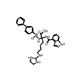 O=C(NC(CCCCNC1NCCN1)(NS(=O)(=O)c1ccc(-c2ccccc2)cc1)C(=O)O)c1cccc2[nH]ncc12